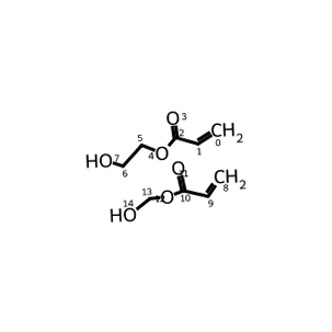 C=CC(=O)OCCO.C=CC(=O)OCO